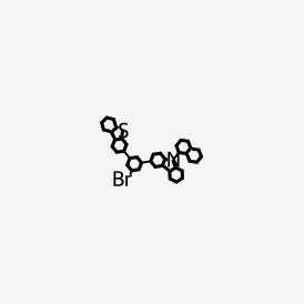 Brc1cc(-c2ccc3c(c2)sc2ccccc23)cc(-c2ccc3c(c2)c2ccccc2n3-c2cccc3ccccc23)c1